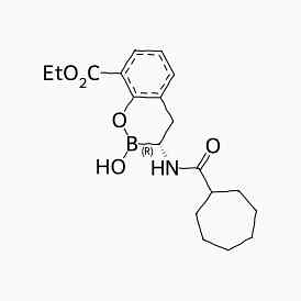 CCOC(=O)c1cccc2c1OB(O)[C@@H](NC(=O)C1CCCCCC1)C2